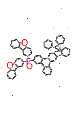 O=P(c1ccc2oc3ccccc3c2c1)(c1ccc2oc3ccccc3c2c1)c1ccc2c(c1)c1ccccc1c1cc3c(cc21)[Si](c1ccccc1)(c1ccccc1)c1ccccc1-3